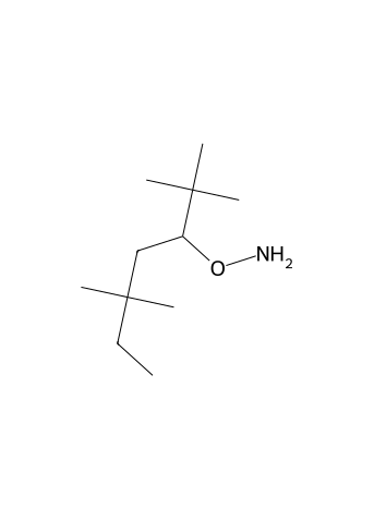 CCC(C)(C)CC(ON)C(C)(C)C